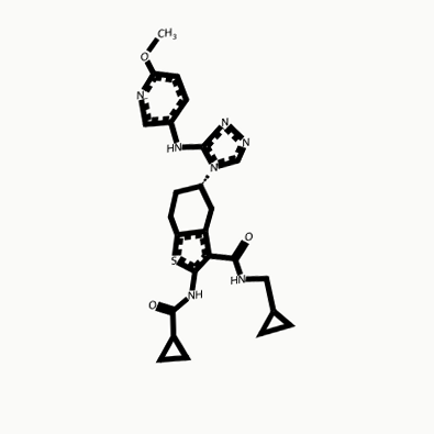 COc1ccc(Nc2nncn2[C@H]2CCc3sc(NC(=O)C4CC4)c(C(=O)NCC4CC4)c3C2)cn1